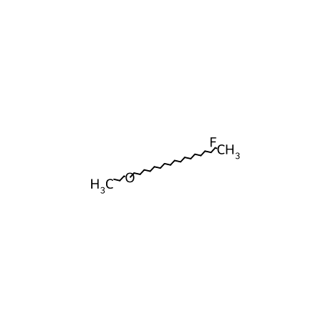 CCCCOCCCCCCCCCCCCCCCCC(C)F